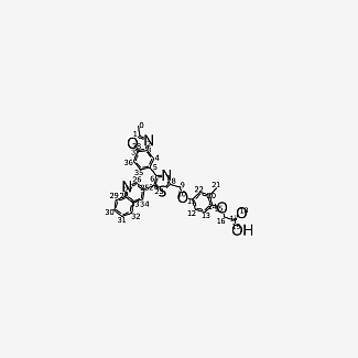 Cc1nc2cc(-c3nc(COc4ccc(OCC(=O)O)c(C)c4)sc3-c3cnc4ccccc4c3)ccc2o1